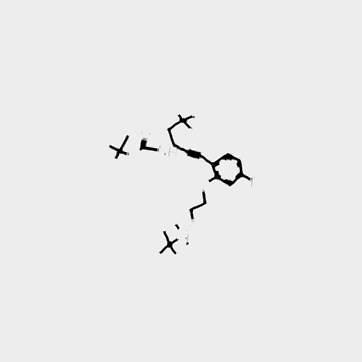 CC(C)(C)OC(=O)NC(C#Cc1ccc(F)cc1OCCO[Si](C)(C)C(C)(C)C)CC(F)(F)F